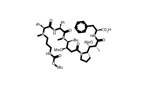 CC[C@H](C)[C@@H]([C@@H](CC(=O)N1CCC[C@H]1[C@H](OC)[C@@H](C)C(=O)N[C@@H](Cc1ccccc1)C(=O)O)OC)N(C)C(=O)[C@@H](NC(=O)[C@H](C(C)C)N(C)CCCNC(=O)OC(C)(C)C)C(C)C